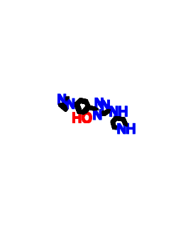 Oc1cc(-n2ccnc2)ccc1-c1ncc(NC2CCNCC2)nn1